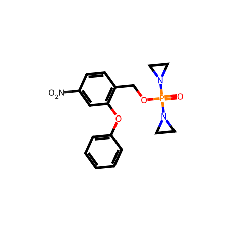 O=[N+]([O-])c1ccc(COP(=O)(N2CC2)N2CC2)c(Oc2ccccc2)c1